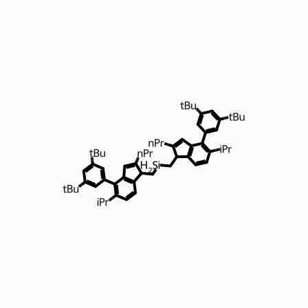 CCCC1=Cc2c(ccc(C(C)C)c2-c2cc(C(C)(C)C)cc(C(C)(C)C)c2)C1C[SiH2]CC1C(CCC)=Cc2c1ccc(C(C)C)c2-c1cc(C(C)(C)C)cc(C(C)(C)C)c1